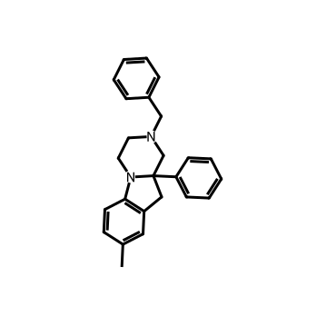 Cc1ccc2c(c1)CC1(c3ccccc3)CN(Cc3ccccc3)CCN21